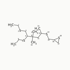 CCSCC(SCC)C(C)(C)CC(C)SCC1CS1